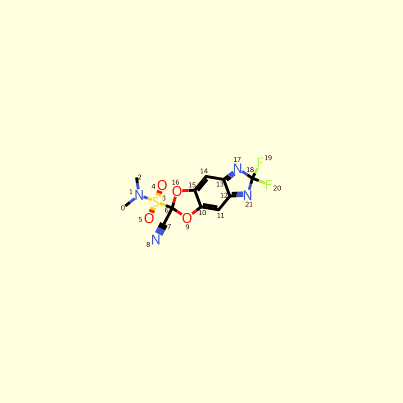 CN(C)S(=O)(=O)C1(C#N)Oc2cc3c(cc2O1)=NC(F)(F)N=3